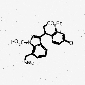 CCOC(=O)CC(c1ccc(Cl)cc1F)c1cn(C(=O)O)c2c(CSC)cccc12